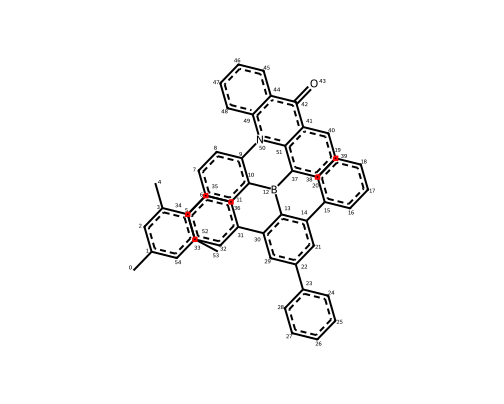 Cc1cc(C)c(-c2ccc3c(c2)B(c2c(-c4ccccc4)cc(-c4ccccc4)cc2-c2ccccc2)c2cccc4c(=O)c5ccccc5n-3c24)c(C)c1